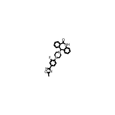 Cc1nc(-c2ccc(N3CCN(C4c5ccccc5NC(=O)c5ccccc54)CC3)c(F)c2)no1